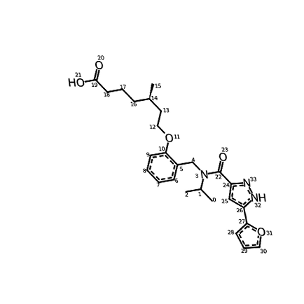 CC(C)N(Cc1ccccc1OCC[C@H](C)CCCC(=O)O)C(=O)c1cc(-c2ccco2)[nH]n1